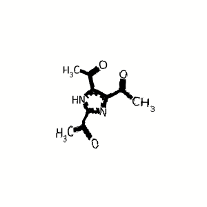 CC(=O)c1nc(C(C)=O)c(C(C)=O)[nH]1